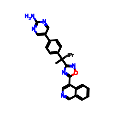 CC(C)C(C)(c1ccc(-c2cnc(N)nc2)cc1)c1noc(-c2cncc3ccccc23)n1